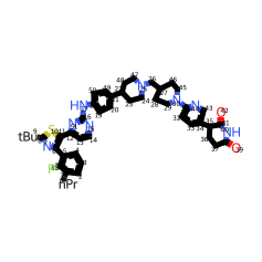 CCCc1cccc(-c2nc(C(C)(C)C)sc2-c2ccnc(Nc3ccc(C4CCN(CC5CCN(c6ccc(C7CCC(=O)NC7=O)cn6)CC5)CC4)cc3)n2)c1F